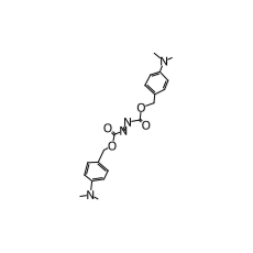 CN(C)c1ccc(COC(=O)N=NC(=O)OCc2ccc(N(C)C)cc2)cc1